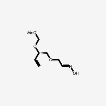 C=C[C@H](COCC=NO)OCOC